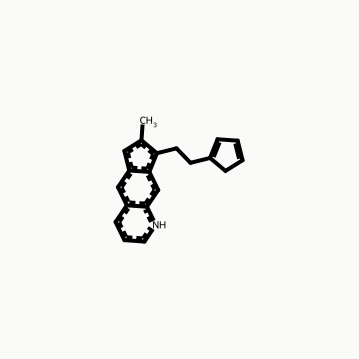 Cc1cc2cc3ccc[nH]c3cc2c1CCC1=CC=CC1